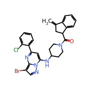 C=C1CC(C(=O)N2CCC(Nc3cc(-c4ccccc4Cl)nc4c(Br)cnn34)CC2)c2ccccc21